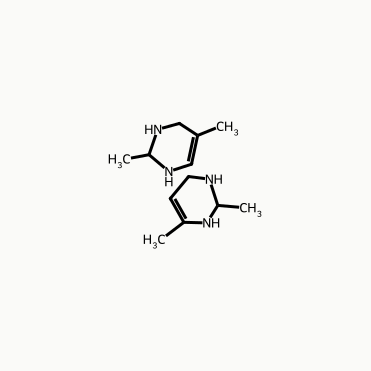 CC1=CCNC(C)N1.CC1=CNC(C)NC1